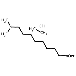 CC.CCCCCCCCCCCCCCCCN(C)C.Cl